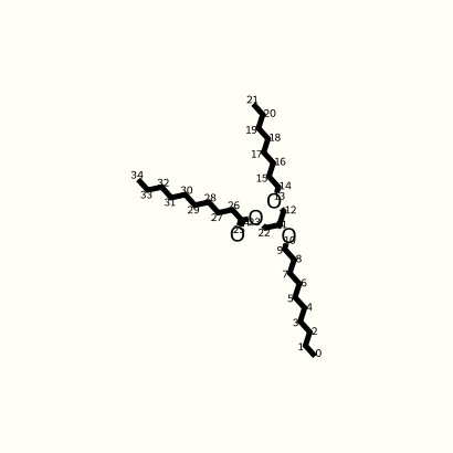 CCCCCCCCCCOC(COCCCCCCCC)COC(=O)CCCCCCCCC